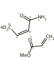 C=CC(=O)OC.NC(=O)/C=C\C(=O)O